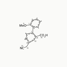 COc1ccccc1-c1cnc(CC#N)cc1C(=O)O